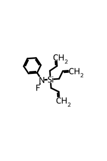 C=CC[Si](CC=C)(CC=C)N(F)c1ccccc1